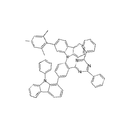 Cc1cc(C)c(-c2ccc3c4ccccc4n(-c4ccc(-c5cccc6c7ccccc7n(-c7ccccc7)c56)cc4-c4nc(-c5ccccc5)nc(-c5ccccc5)n4)c3c2)c(C)c1